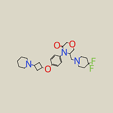 O=C1COCC(CN2CCC(F)(F)CC2)N1c1ccc(O[C@H]2C[C@H](N3CCCCC3)C2)cc1